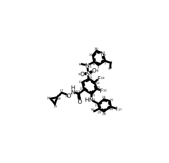 CCc1cc(N(C)S(=O)(=O)c2cc(C(=O)NOCC3CC3)c(Nc3ccc(I)cc3C)c(F)c2F)ccn1